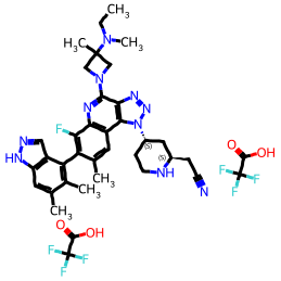 CCN(C)C1(C)CN(c2nc3c(F)c(-c4c(C)c(C)cc5[nH]ncc45)c(C)cc3c3c2nnn3[C@H]2CCN[C@H](CC#N)C2)C1.O=C(O)C(F)(F)F.O=C(O)C(F)(F)F